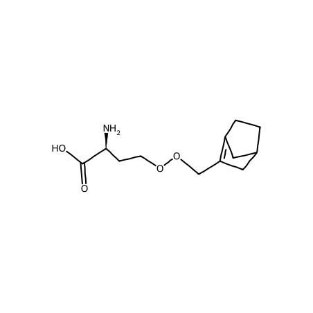 N[C@@H](CCOOCC1=C2CCC(C2)C1)C(=O)O